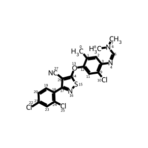 Cc1cc(/N=C\N(C)C)c(Cl)cc1Oc1snc(-c2ccc(Cl)cc2Cl)c1C#N